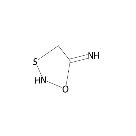 N=C1CSNO1